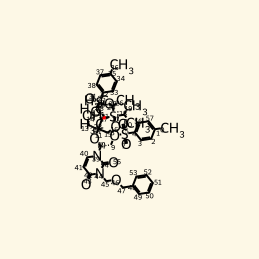 Cc1ccc(S(=O)(=O)OC[C@@H](O[C@@](CO)(CO[Si](C(C)C)(C(C)C)C(C)C)COS(=O)(=O)c2ccc(C)cc2)n2ccc(=O)n(COCc3ccccc3)c2=O)cc1